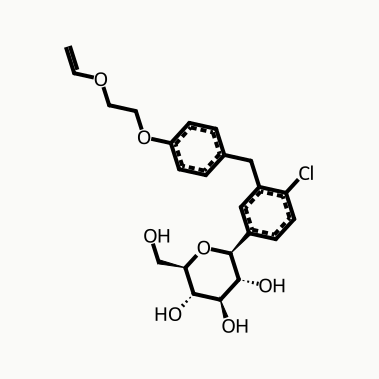 C=COCCOc1ccc(Cc2cc([C@@H]3O[C@H](CO)[C@@H](O)[C@H](O)[C@H]3O)ccc2Cl)cc1